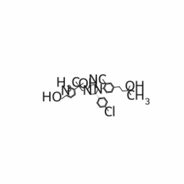 C[C@H](O)CCc1ccc(N2CCN(C[C@@](C)(O)c3ccc(CO)nc3)C[C@H]2c2ccc(Cl)cc2)c(C#N)c1